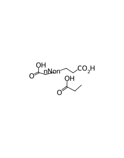 CCC(=O)O.CCC(=O)O.CCCCCCCCCCCC(=O)O